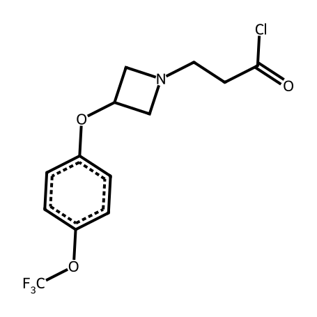 O=C(Cl)CCN1CC(Oc2ccc(OC(F)(F)F)cc2)C1